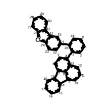 c1ccc(-c2ccc3c4c(cccc24)-c2ccccc2-3)c(-c2ccc3oc4ccccc4c3c2)c1